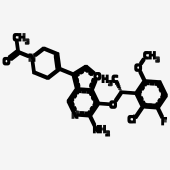 COc1ccc(F)c(Cl)c1[C@@H](C)Oc1c(N)ncc2c(C3=CCN(C(C)=O)CC3)coc12